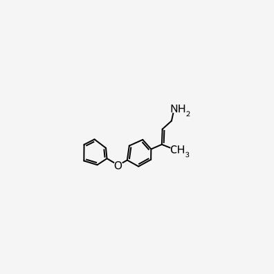 CC(=CCN)c1ccc(Oc2ccccc2)cc1